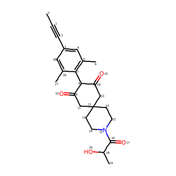 CC#Cc1cc(C)c(C2C(=O)CC3(CCN(C(=O)C(C)O)CC3)CC2=O)c(C)c1